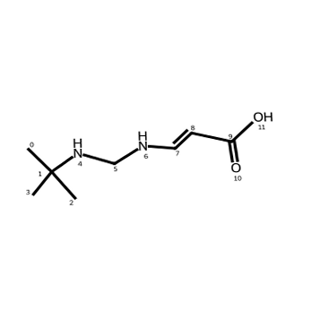 CC(C)(C)NCNC=CC(=O)O